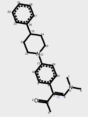 CC(=O)/C(=C/N(C)C)c1ccc(N2CCC(c3ccccc3)CC2)cc1